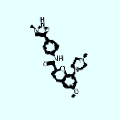 COc1cc2c(c(N3CCN(C)CC3)c1)OC(C(=O)Nc1ccc(C3=CN(C)NO3)cc1)CC2